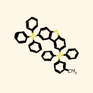 Cc1cccc(S(c2ccccc2)(c2ccccc2)c2ccc3sc4ccc(S(c5cc#ccc5)(c5ccccc5)c5ccccc5)cc4c3c2)c1